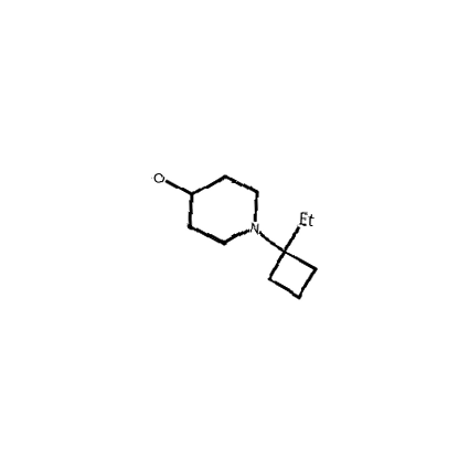 CCC1(N2CCC([O])CC2)CCC1